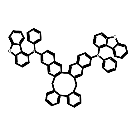 c1ccc(N(c2ccc3cc4c(cc3c2)Cc2ccccc2-c2ccccc2Cc2cc3cc(N(c5ccccc5)c5cccc6oc7ccccc7c56)ccc3cc2-4)c2cccc3oc4ccccc4c23)cc1